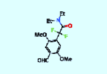 CCN(CC)C(=O)C(F)(F)c1cc(OC)c(C=O)cc1OC